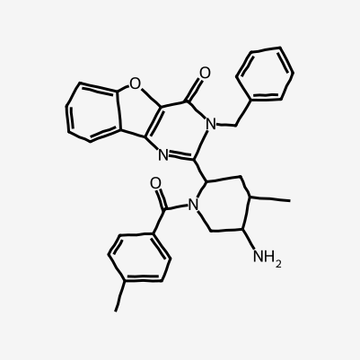 Cc1ccc(C(=O)N2CC(N)C(C)CC2c2nc3c(oc4ccccc43)c(=O)n2Cc2ccccc2)cc1